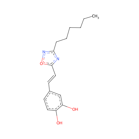 CCCCCCc1noc(C=Cc2ccc(O)c(O)c2)n1